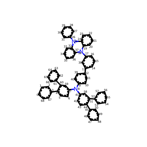 c1ccc(-c2ccc(N(c3ccc(-c4cccc(N5c6ccccc6N(c6ccccc6)c6ccccc65)c4)cc3)c3ccc(-c4ccccc4)c(-c4ccccc4)c3)cc2-c2ccccc2)cc1